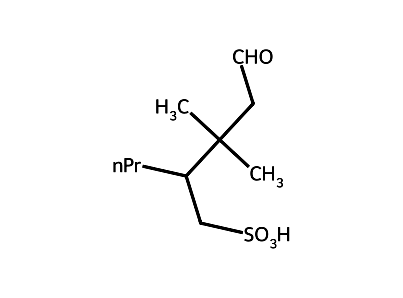 CCCC(CS(=O)(=O)O)C(C)(C)CC=O